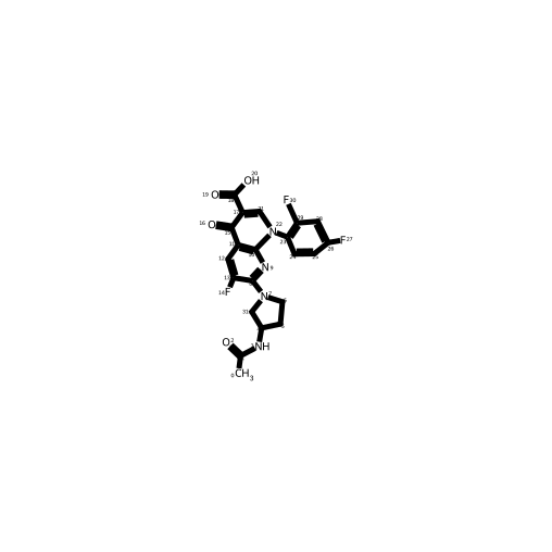 CC(=O)NC1CCN(c2nc3c(cc2F)c(=O)c(C(=O)O)cn3-c2ccc(F)cc2F)C1